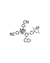 C[C@@H]1C[C@@H]2C[C@H](C)CC(c3ccc(-c4cc(-c5nc(-c6ccc(C#N)cc6)nc(-c6ccc(C#N)cc6)n5)cc(-c5cccc6ccccc56)c4)cc3)(C1)C2